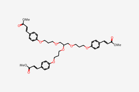 COC(=O)C=Cc1ccc(OCCCOCC(COCCCOc2ccc(C=CC(=O)OC)cc2)OCCCOc2ccc(C=CC(=O)OC)cc2)cc1